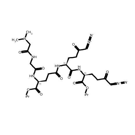 CC(C)OC(=O)[C@H](CCC(=O)N[C@@H](CCC(=O)C=[N+]=[N-])C(=O)N[C@@H](CCC(=O)C=[N+]=[N-])C(=O)OC(C)C)NC(=O)CNC(=O)CN(C)C